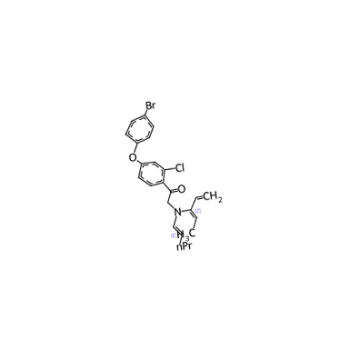 C=C/C(=C/C)N(/C=C/CCC)CC(=O)c1ccc(Oc2ccc(Br)cc2)cc1Cl